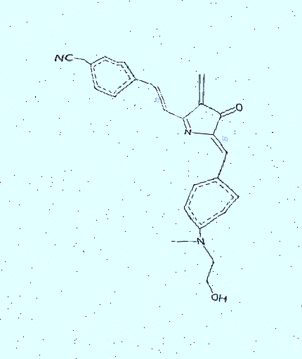 C=C1C(=O)/C(=C/c2ccc(N(C)CCO)cc2)N=C1/C=C/c1ccc(C#N)cc1